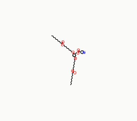 CCCCCCCCCC(=O)OCCCCCCCCOc1ccc(OCCCCCCCCOC(=O)CCCCCCCCC)c(COC(=O)C2CCN(C)CC2)c1